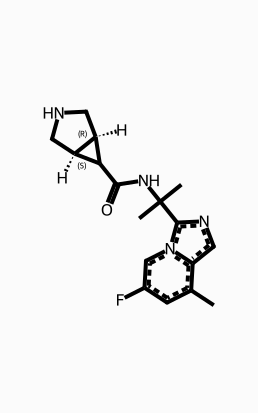 Cc1cc(F)cn2c(C(C)(C)NC(=O)C3[C@H]4CNC[C@@H]34)ncc12